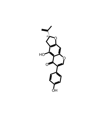 C=C(C)[C@H]1Cc2c(cc3occ(-c4ccc(O)cc4)c(=O)c3c2O)O1